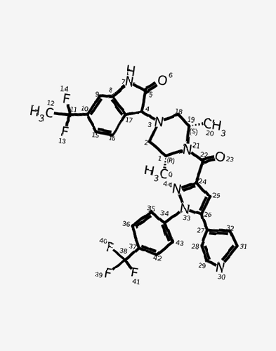 C[C@@H]1CN(C2C(=O)Nc3cc(C(C)(F)F)ccc32)C[C@H](C)N1C(=O)c1cc(-c2ccncc2)n(-c2ccc(C(F)(F)F)cc2)n1